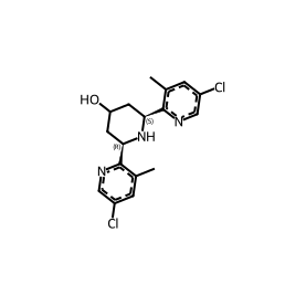 Cc1cc(Cl)cnc1[C@@H]1CC(O)C[C@H](c2ncc(Cl)cc2C)N1